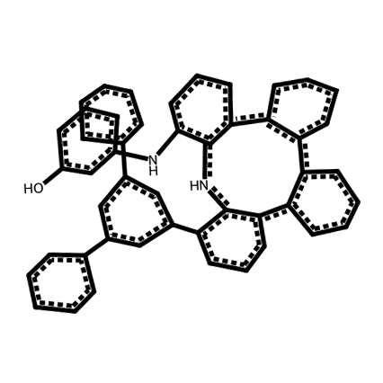 Oc1cccc(Nc2cccc3c2[nH]c2c(-c4cc(-c5ccccc5)cc(-c5ccccc5)c4)cccc2c2ccccc2c2ccccc32)c1